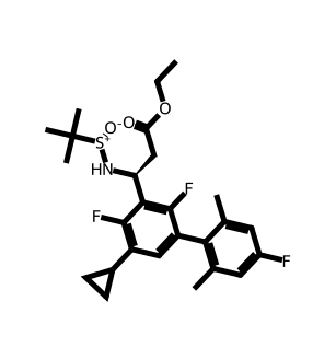 CCOC(=O)C[C@H](N[S+]([O-])C(C)(C)C)c1c(F)c(-c2c(C)cc(F)cc2C)cc(C2CC2)c1F